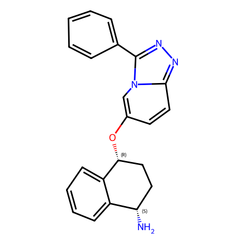 N[C@H]1CC[C@@H](Oc2ccc3nnc(-c4ccccc4)n3c2)c2ccccc21